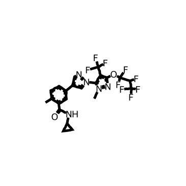 Cc1ccc(-c2cnn(-c3c(C(F)(F)F)c(OC(F)(F)C(F)C(F)(F)F)nn3C)c2)cc1C(=O)NC1CC1